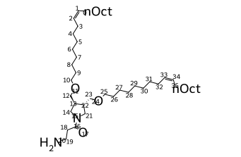 CCCCCCCC/C=C\CCCCCCCCOC[C@@H]1CN(C(=O)CCN)C[C@H]1COCCCCCCCC/C=C\CCCCCCCC